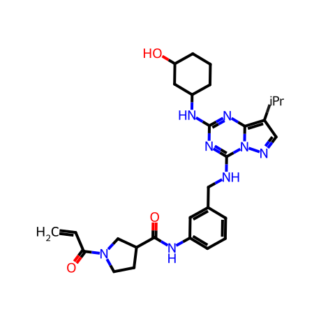 C=CC(=O)N1CCC(C(=O)Nc2cccc(CNc3nc(NC4CCCC(O)C4)nc4c(C(C)C)cnn34)c2)C1